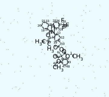 CCOC(=O)C(COC(=O)Cc1ccc(NC(=O)c2ccccc2-c2ccc(C(F)(F)F)cc2)c(CC(C)C)c1)(C(=O)OCC)c1ccccc1